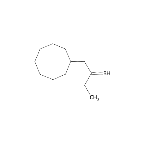 B=C(CC)CC1CCCCCCC1